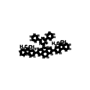 CC1(C)c2ccccc2-c2ccc(-c3cc4c5c6c(cc(-c7ccc8c(c7)C(C)(C)c7ccccc7-8)cc6n(-c6nc(-c7ccccc7)nc(-c7ccccc7)n6)c5c3)CC4)cc21